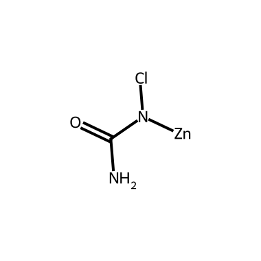 NC(=O)[N](Cl)[Zn]